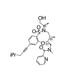 CC(C)CC#Cc1ccc2c(c1)O[C@H](CN(C)C(=O)c1ccccn1)[C@H](C)CN([C@H](C)CO)S2(=O)=O